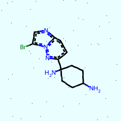 NC1CCC(N)(c2ccc3ncc(Br)n3n2)CC1